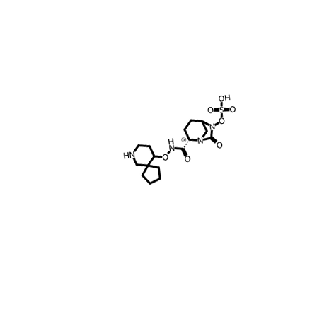 O=C(NOC1CCNCC12CCCC2)[C@@H]1CCC2CN1C(=O)N2OS(=O)(=O)O